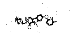 Cc1cccc(Oc2ccc3c4cnn(Cn5cnnc5)c(=O)c4n(C)c3c2)n1